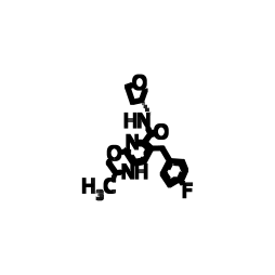 C[C@H]1COc2nc(C(=O)NC[C@@H]3CCOC3)c(Cc3ccc(F)cc3)cc2N1